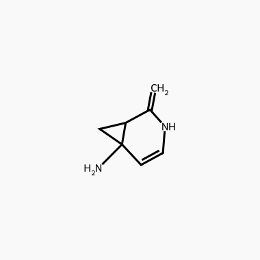 C=C1NC=CC2(N)CC12